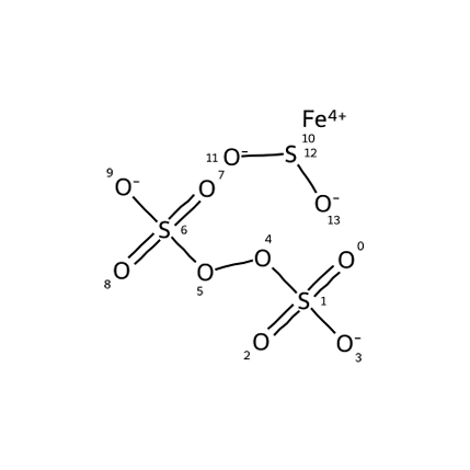 O=S(=O)([O-])OOS(=O)(=O)[O-].[Fe+4].[O-]S[O-]